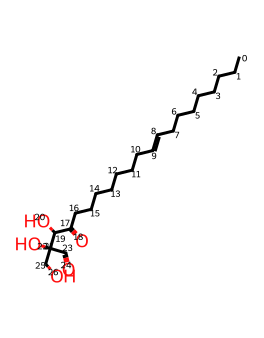 CCCCCCCCC=CCCCCCCCC(=O)C(O)C(O)(C=O)CO